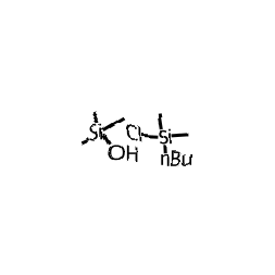 CCCC[Si](C)(C)Cl.C[Si](C)(C)O